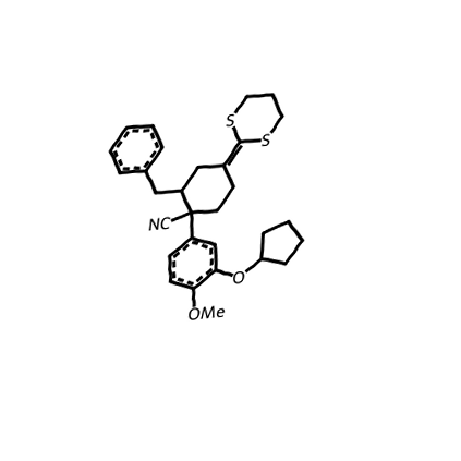 COc1ccc(C2(C#N)CCC(=C3SCCCS3)CC2Cc2ccccc2)cc1OC1CCCC1